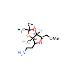 COC[C@H]1OC(CCN)[C@]2(C)OC(C)(C)O[C@H]12